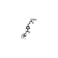 COC(=O)CCCc1ccc(C(=O)CCCC(F)(F)C(F)(F)F)cc1